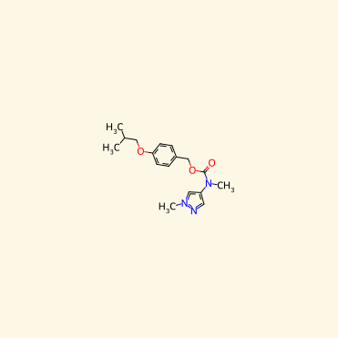 CC(C)COc1ccc(COC(=O)N(C)c2cnn(C)c2)cc1